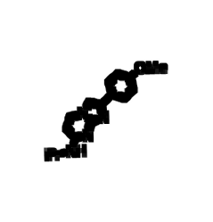 COc1ccc(-c2cn3ccc(NC(C)C)nc3n2)cc1